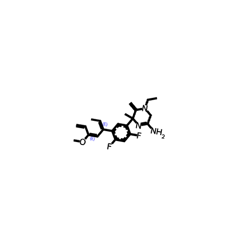 C=C/C(=C\C(=C/C)c1cc(C2(C)N=C(N)CN(CC)C2=C)c(F)cc1F)OC